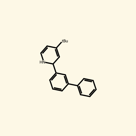 CC(C)(C)C1=CC(c2cccc(-c3ccccc3)c2)NC=C1